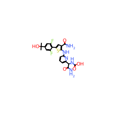 CC(C)(O)c1cc(F)c(-c2cc(C(N)=O)c(Nc3cccc(C(NC(=O)O)C(N)=O)n3)s2)c(F)c1